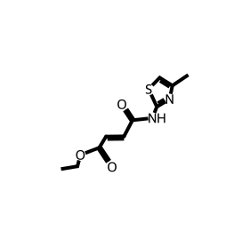 CCOC(=O)/C=C/C(=O)Nc1nc(C)cs1